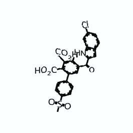 Cc1c(C(=O)O)c(C(=O)c2cc3ccc(Cl)cc3[nH]2)cc(-c2ccc(S(C)(=O)=O)cc2)c1C(=O)O